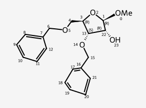 CO[C@@H]1O[C@H](COCc2ccccc2)[C@@H](OCc2ccccc2)[C@H]1O